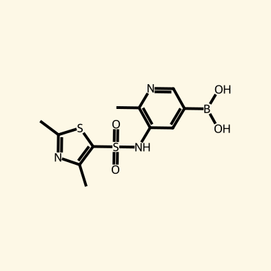 Cc1nc(C)c(S(=O)(=O)Nc2cc(B(O)O)cnc2C)s1